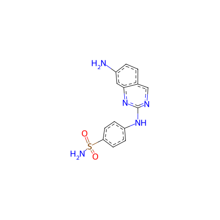 Nc1ccc2cnc(Nc3ccc(S(N)(=O)=O)cc3)nc2c1